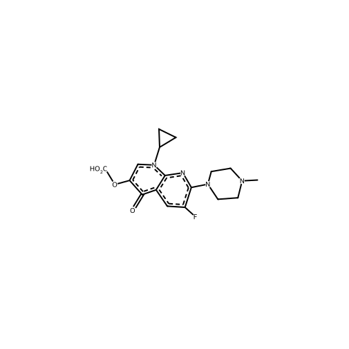 CN1CCN(c2nc3c(cc2F)c(=O)c(OC(=O)O)cn3C2CC2)CC1